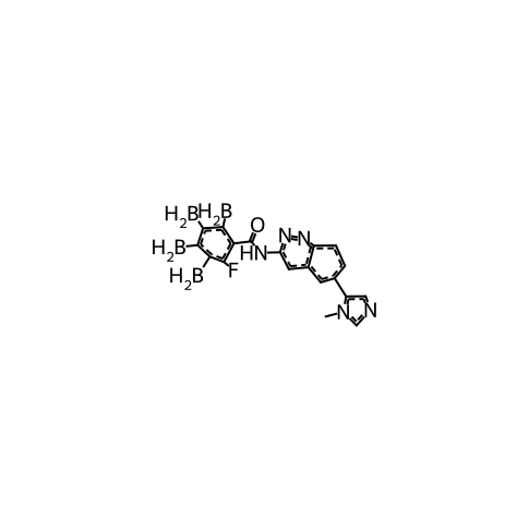 Bc1c(B)c(B)c(C(=O)Nc2cc3cc(-c4cncn4C)ccc3nn2)c(F)c1B